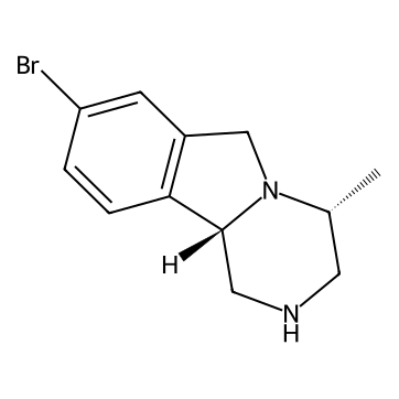 C[C@@H]1CNC[C@@H]2c3ccc(Br)cc3CN12